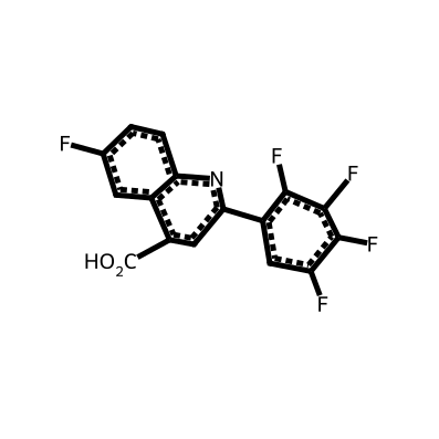 O=C(O)c1cc(-c2cc(F)c(F)c(F)c2F)nc2ccc(F)cc12